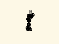 CC(C)(C)OC(=O)N1CCC(c2ccc3c(ccn3[C@H]3CCC(=O)NC3=O)c2)CC1